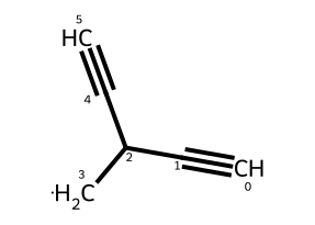 C#CC([CH2])C#C